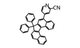 N#Cc1cc(-c2cc3c(c4ccccc24)-c2c(ccc4ccccc24)C3(c2ccccc2)c2ccccc2)ccn1